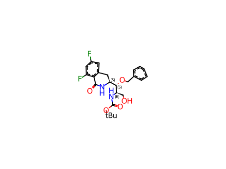 CC(C)(C)OC(=O)N[C@H](CO)[C@@H](OCc1ccccc1)[C@@H]1Cc2cc(F)cc(F)c2C(=O)N1